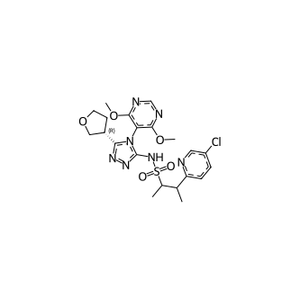 COc1ncnc(OC)c1-n1c(NS(=O)(=O)C(C)C(C)c2ccc(Cl)cn2)nnc1[C@H]1CCOC1